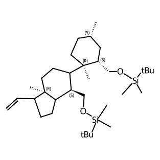 C=CC1CCC2[C@H](CO[Si](C)(C)C(C)(C)C)C([C@@]3(C)CC[C@H](C)C[C@@H]3CO[Si](C)(C)C(C)(C)C)CC[C@]12C